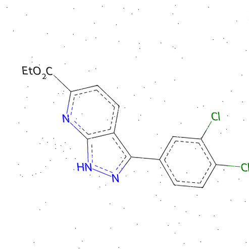 CCOC(=O)c1ccc2c(-c3ccc(Cl)c(Cl)c3)n[nH]c2n1